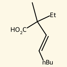 CCCCC=CC(C)(CC)C(=O)O